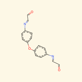 O=CC=Nc1ccc(Oc2ccc(N=CC=O)cc2)cc1